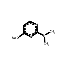 COc1ccnc(N(C)C)n1